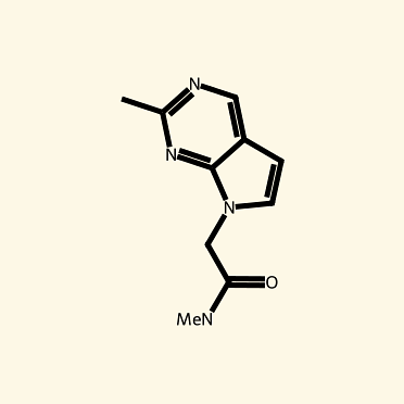 CNC(=O)Cn1ccc2cnc(C)nc21